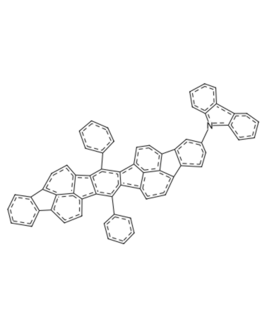 c1ccc(-c2c3c4ccc5c6c(ccc(c3c(-c3ccccc3)c3c7ccc8c9c(ccc(c23)c97)-c2ccc(-n3c7ccccc7c7ccccc73)cc2-8)c64)-c2ccccc2-5)cc1